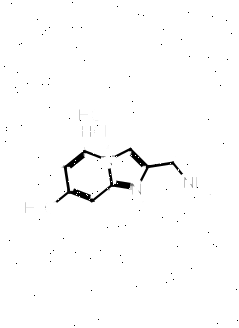 Cc1ccn2cc(CN)nc2c1.Cl.Cl